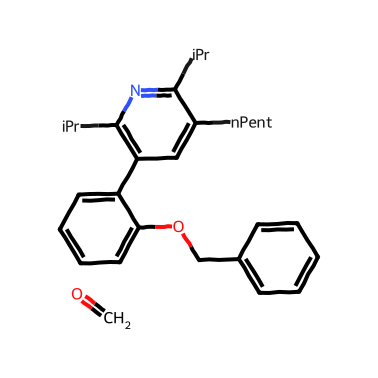 C=O.CCCCCc1cc(-c2ccccc2OCc2ccccc2)c(C(C)C)nc1C(C)C